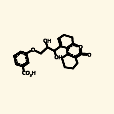 O=C(O)c1cccc(OCC(O)C(O)C2=CCCc3oc(=O)c4c(c32)CCCC4)c1